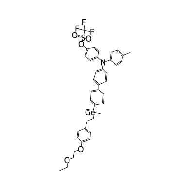 CCOCCOc1ccc(C[CH2][Ge]([CH3])([CH3])[c]2ccc(-c3ccc(N(c4ccc(C)cc4)c4ccc(OS(=O)(=O)C(F)(F)F)cc4)cc3)cc2)cc1